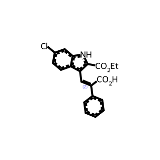 CCOC(=O)c1[nH]c2cc(Cl)ccc2c1/C=C(\C(=O)O)c1ccccc1